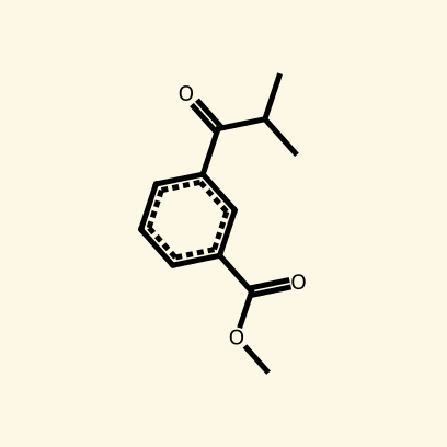 COC(=O)c1cccc(C(=O)C(C)C)c1